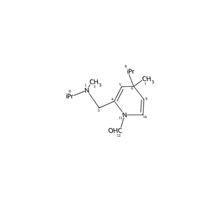 CC(C)N(C)CC1=CC(C)(C(C)C)C=CN1C=O